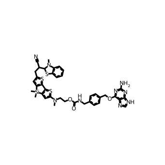 CN(CCOC(=O)NCc1ccc(COc2nc(N)nc3[nH]cnc23)cc1)c1cc2c(s1)-c1sc(CC(C#N)C3Sc4ccccc4N3C)cc1[Si]2(C)C